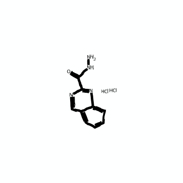 Cl.Cl.NNC(=O)c1ncc2ccccc2n1